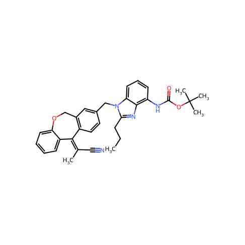 CCCc1nc2c(NC(=O)OC(C)(C)C)cccc2n1Cc1ccc2c(c1)COc1ccccc1C2=C(C)C#N